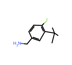 CC(C)(C)c1cc(CN)ccc1F